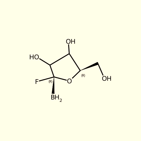 B[C@]1(F)O[C@H](CO)C(O)C1O